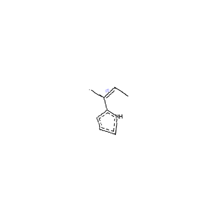 [CH2]/C(=C/C)c1ccc[nH]1